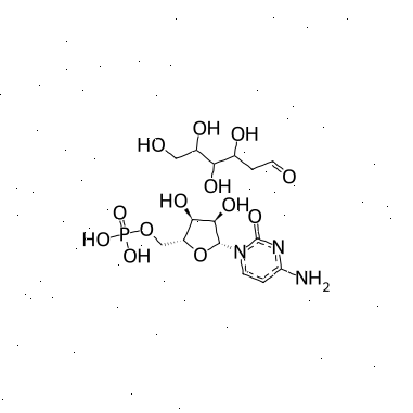 Nc1ccn([C@@H]2O[C@H](COP(=O)(O)O)[C@@H](O)[C@H]2O)c(=O)n1.O=CCC(O)C(O)C(O)CO